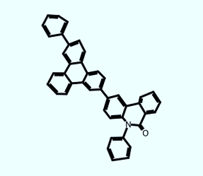 O=c1c2ccccc2c2cc(-c3ccc4c5ccc(-c6ccccc6)cc5c5ccccc5c4c3)ccc2n1-c1ccccc1